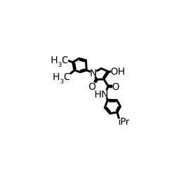 Cc1ccc(N2CC(O)=C(C(=O)Nc3ccc(C(C)C)cc3)C2=O)cc1C